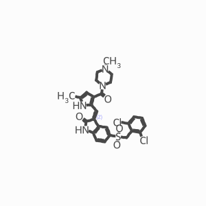 Cc1cc(C(=O)N2CCN(C)CC2)c(/C=C2\C(=O)Nc3ccc(S(=O)(=O)Cc4c(Cl)cccc4Cl)cc32)[nH]1